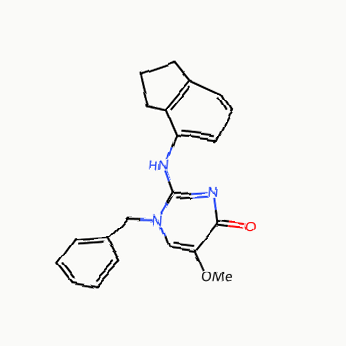 COc1cn(Cc2ccccc2)c(Nc2cccc3c2CCC3)nc1=O